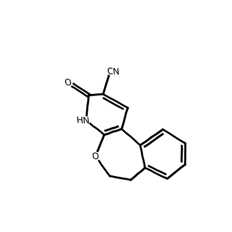 N#Cc1cc2c([nH]c1=O)OCCc1ccccc1-2